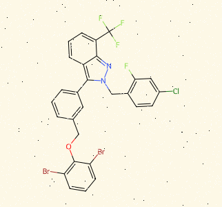 Fc1cc(Cl)ccc1Cn1nc2c(C(F)(F)F)cccc2c1-c1cccc(COc2c(Br)cccc2Br)c1